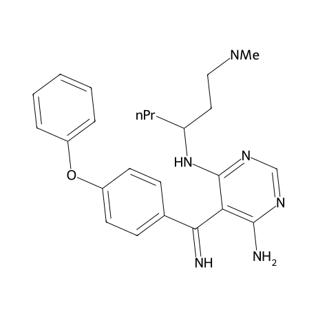 CCCC(CCNC)Nc1ncnc(N)c1C(=N)c1ccc(Oc2ccccc2)cc1